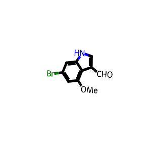 COc1cc(Br)cc2[nH]cc(C=O)c12